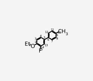 CCOc1ccc(-c2ccc(C)cc2)cc1F